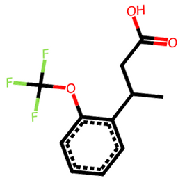 CC(CC(=O)O)c1ccccc1OC(F)(F)F